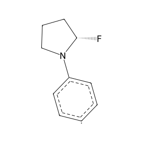 F[C@H]1CCCN1c1cc[c]cc1